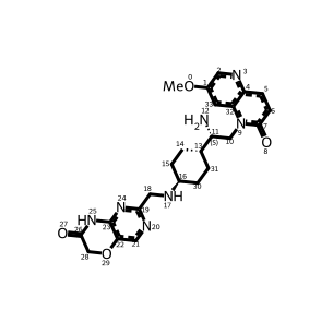 COc1cnc2ccc(=O)n(C[C@@H](N)[C@H]3CC[C@H](NCc4ncc5c(n4)NC(=O)CO5)CC3)c2c1